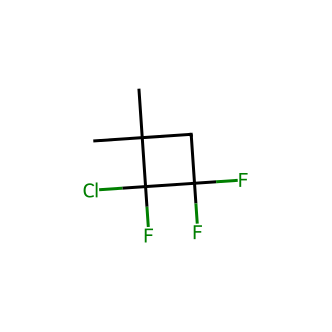 CC1(C)CC(F)(F)C1(F)Cl